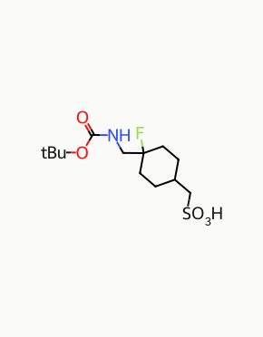 CC(C)(C)OC(=O)NCC1(F)CCC(CS(=O)(=O)O)CC1